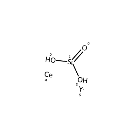 O=[Si](O)O.[Ce].[Y]